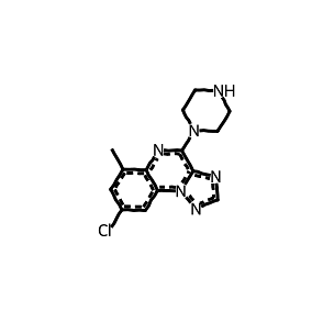 Cc1cc(Cl)cc2c1nc(N1CCNCC1)c1ncnn12